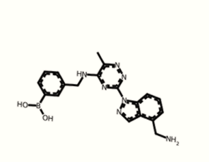 Cc1nnc(-n2ncc3c(CN)cccc32)nc1NCc1cccc(B(O)O)c1